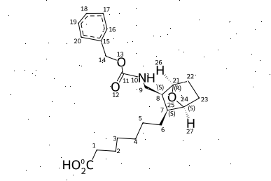 O=C(O)CCCCCC[C@H]1[C@@H](CNC(=O)OCc2ccccc2)[C@H]2CC[C@@H]1O2